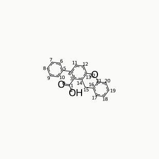 O=C(O)c1c(-c2ccccc2)ccc2c1Cc1ccccc1O2